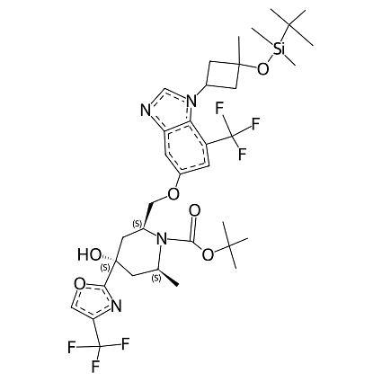 C[C@H]1C[C@@](O)(c2nc(C(F)(F)F)co2)C[C@@H](COc2cc(C(F)(F)F)c3c(c2)ncn3C2CC(C)(O[Si](C)(C)C(C)(C)C)C2)N1C(=O)OC(C)(C)C